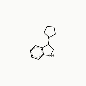 c1ccc2c(c1)NCC2N1CCCC1